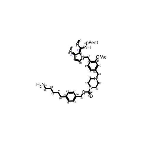 C=N/C(NCCCCC)=C1\C(=N/C)C=CN1Cc1ccc(CN2CCN(C(=O)OCc3ccc(CCCCCN)cc3)CC2)cc1OC